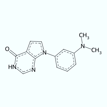 CN(C)c1cccc(-n2ccc3c(=O)[nH]cnc32)c1